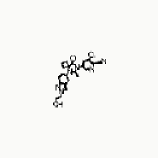 C=C1N(c2cnc(C#N)c(Cl)c2)C(=O)C2(CCC2)N1c1ccc2nn(CCO)cc2c1